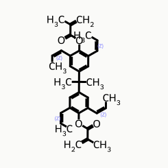 C=C(C)C(=O)Oc1c(/C=C\C)cc(C(C)(C)c2cc(/C=C\C)c(OC(=O)C(=C)C)c(/C=C\C)c2)cc1/C=C\C